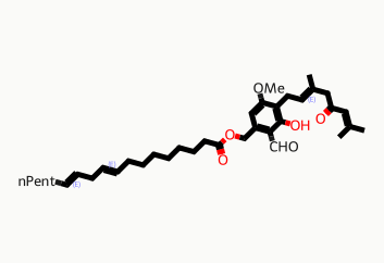 CCCCC/C=C/C/C=C/CCCCCCCC(=O)OCc1cc(OC)c(C/C=C(\C)CC(=O)C=C(C)C)c(O)c1C=O